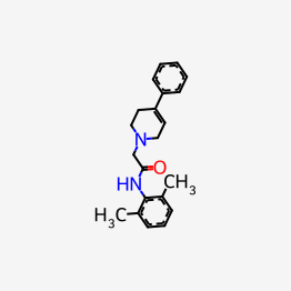 Cc1cccc(C)c1NC(=O)CN1CC=C(c2ccccc2)CC1